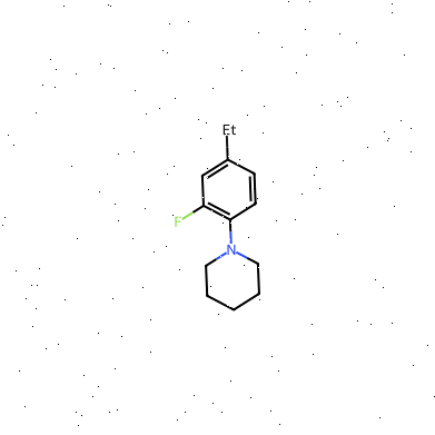 CCc1ccc(N2CCCCC2)c(F)c1